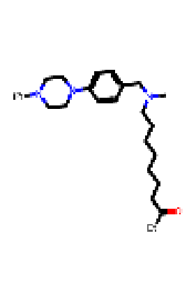 CCC(=O)CCCCCCCN(C)Cc1ccc(N2CCN(C(C)C)CC2)cc1